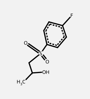 C[C](O)CS(=O)(=O)c1ccc(F)cc1